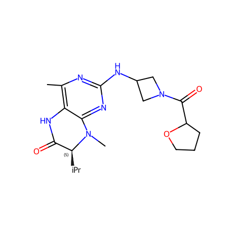 Cc1nc(NC2CN(C(=O)C3CCCO3)C2)nc2c1NC(=O)[C@H](C(C)C)N2C